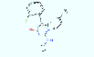 O=c1nc(NC2CCC2)n2ccc(C(F)(F)F)cc2c1-c1ccccc1F